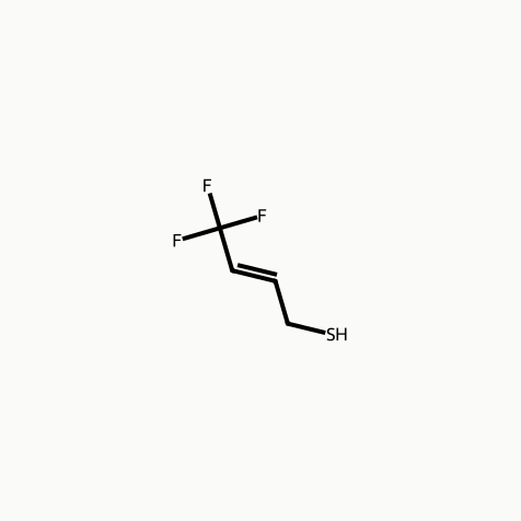 FC(F)(F)C=CCS